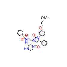 COCCCOc1cccc(-n2c(-c3ccccc3)c(C(=O)N3CCNCC3)n(CCNS(=O)(=O)c3ccccc3)c2=O)c1